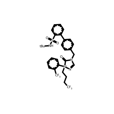 CC(C)(C)NS(=O)(=O)c1ccccc1-c1ccc(CN2C=N[N+](CCCC(F)(F)F)(c3ccccc3C(F)(F)F)C2=O)cc1